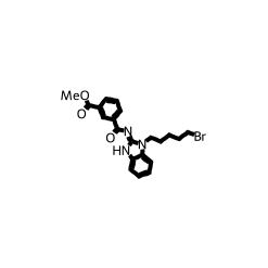 COC(=O)c1cccc(C(=O)/N=c2\[nH]c3ccccc3n2CCCCCBr)c1